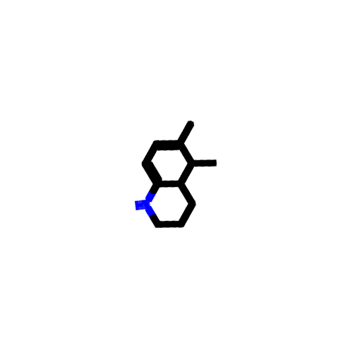 CC1=CC=C2NCCCC2C1C